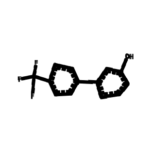 Oc1cccc(-c2ccc(C(F)(F)F)cc2)c1